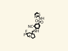 N#Cc1cc(S(=O)(=O)Nc2nccs2)ccc1NCC12CCCN1CC(F)(F)C2